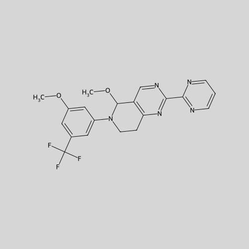 COc1cc(N2CCc3nc(-c4ncccn4)ncc3C2OC)cc(C(F)(F)F)c1